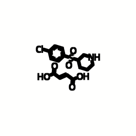 O=C(O)C=CC(=O)O.O=S(=O)(c1ccc(Cl)cc1)C1CCCNC1